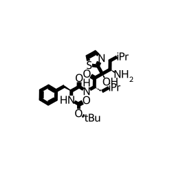 CC(C)C[C@H](NC(=O)[C@H](Cc1ccccc1)NC(=O)OC(C)(C)C)C(=O)[C@@](O)(c1nccs1)[C@@H](N)CC(C)C